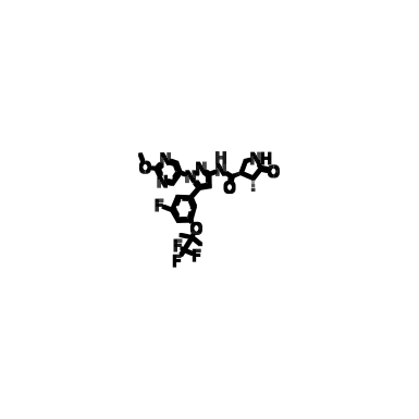 COc1ncc(-n2nc(NC(=O)[C@H]3CNC(=O)[C@@H]3C)cc2-c2cc(F)cc(OC(C)(C)C(F)(F)F)c2)cn1